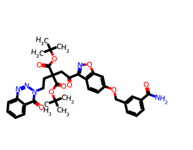 CC(C)(C)OC(=O)C(CCn1nnc2ccccc2c1=O)(CC(=O)c1noc2cc(OCc3cccc(C(N)=O)c3)ccc12)C(=O)OC(C)(C)C